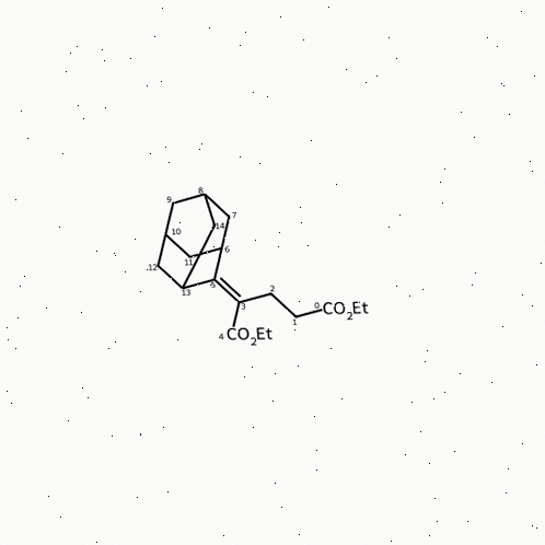 CCOC(=O)CCC(C(=O)OCC)=C1C2CC3CC(C2)CC1C3